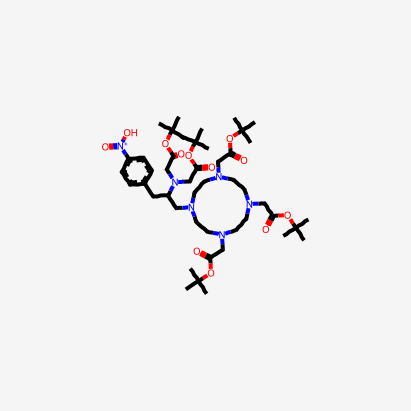 CC(C)(C)OC(=O)CN1CCN(CC(=O)OC(C)(C)C)CCN(CC(Cc2ccc([N+](=O)O)cc2)N(CC(=O)OC(C)(C)C)CC(=O)OC(C)(C)C)CCN(CC(=O)OC(C)(C)C)CC1